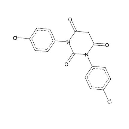 O=C1CC(=O)N(c2ccc(Cl)cc2)C(=O)N1c1ccc(Cl)cc1